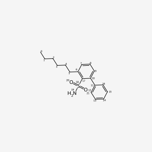 CCCCCCc1cccc(-c2ccccc2)c1S(N)(=O)=O